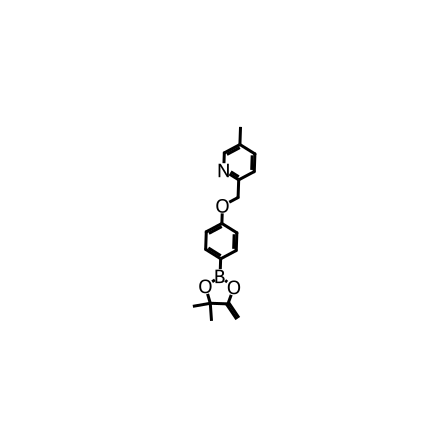 C=C1OB(c2ccc(OCc3ccc(C)cn3)cc2)OC1(C)C